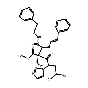 CCC(CC)CC(C(=O)[C@](CC(C)C)(C(=O)NN)[C@H](C/C=C/c1ccccc1)C(=O)NOCc1ccccc1)n1ccnn1